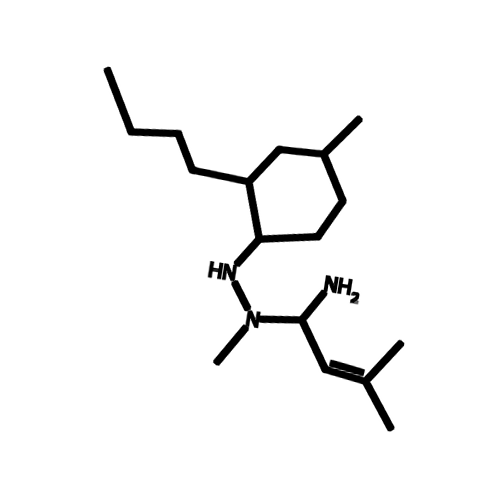 CCCCC1CC(C)CCC1NN(C)C(N)C=C(C)C